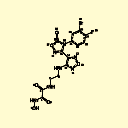 O=C(NO)C(=O)NCCNc1nonc1-c1noc(=O)n1-c1ccc(F)c(Br)c1